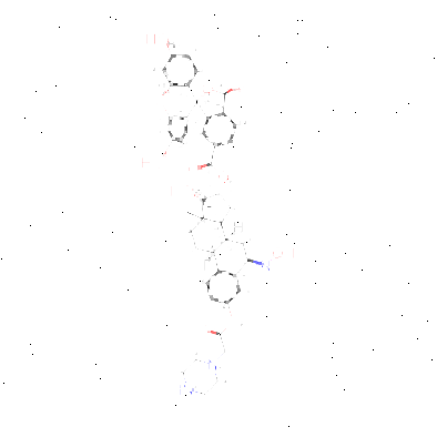 C[C@]12CC[C@@H]3c4ccc(OC(=O)CN5CCNCC5)cc4C(=NO)C[C@H]3[C@@H]1C[C@@H](OC(=O)c1ccc3c(c1)C1(OC3=O)c3ccc(O)cc3Oc3cc(O)ccc31)[C@@H]2O